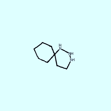 C1CCC2(CC1)CCNNN2